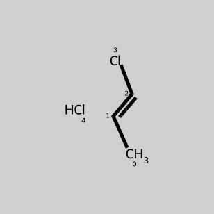 CC=CCl.Cl